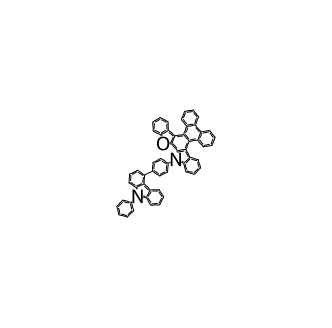 c1ccc(-n2c3ccccc3c3c(-c4ccc(-n5c6ccccc6c6c7c8ccccc8c8ccccc8c7c7c8ccccc8oc7c65)cc4)cccc32)cc1